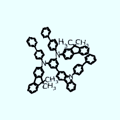 CC1(C)c2ccccc2-c2ccc(N(c3ccc(-c4ccccc4)cc3)c3cc(-c4ccc5c6ccccc6n(-c6ccc(-c7ccccc7)cc6)c5c4)cc(N(c4ccc(-c5ccccc5)cc4)c4ccc5c(c4)C(C)(C)c4ccccc4-5)c3)cc21